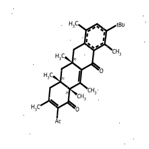 CC(=O)C1=C(C)C[C@]2(C)C[C@]3(C)Cc4c(C)cc(C(C)(C)C)c(C)c4C(=O)C3=C(C)[C@]2(C)C1=O